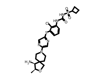 C[C@@H]1OCC2(CCN(c3cnc(Sc4cccc(NC(=O)NS(=O)(=O)C5CCC5)c4Cl)cn3)CC2)[C@@H]1N